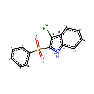 O=S(=O)(c1ccccc1)c1[nH]c2ccccc2c1Br